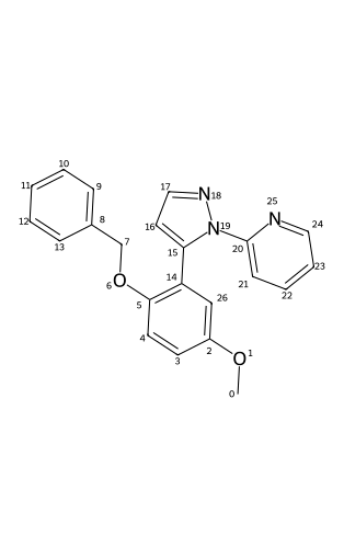 COc1ccc(OCc2ccccc2)c(-c2ccnn2-c2ccccn2)c1